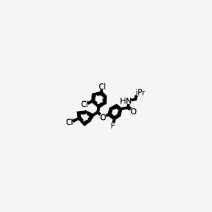 CC(C)CNC(=O)c1ccc(OC(c2ccc(Cl)cc2)c2ccc(Cl)cc2Cl)c(F)c1